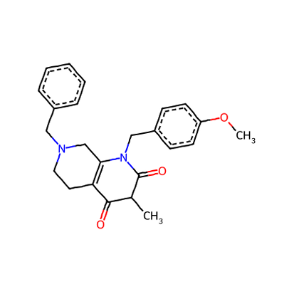 COc1ccc(CN2C(=O)C(C)C(=O)C3=C2CN(Cc2ccccc2)CC3)cc1